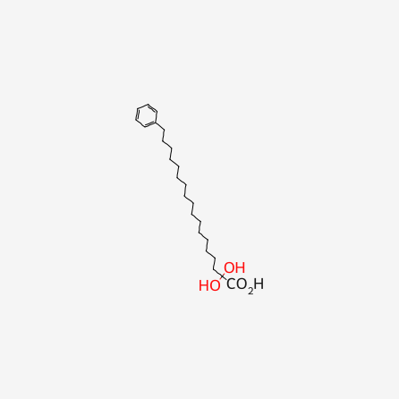 O=C(O)C(O)(O)CCCCCCCCCCCCCCCCc1ccccc1